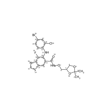 CC1(C)OCC(CONC(=O)c2cc3scnc3c(F)c2Nc2ccc(Br)cc2Cl)O1